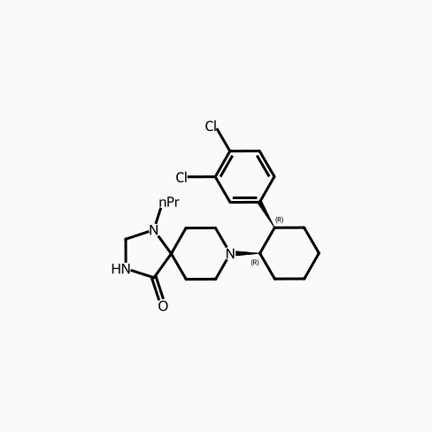 CCCN1CNC(=O)C12CCN([C@@H]1CCCC[C@@H]1c1ccc(Cl)c(Cl)c1)CC2